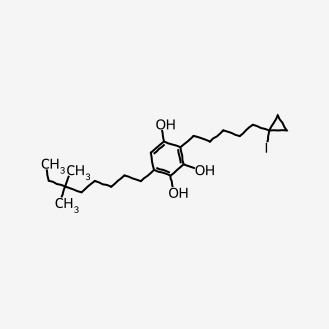 CCC(C)(C)CCCCCc1cc(O)c(CCCCCC2(I)CC2)c(O)c1O